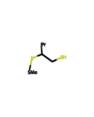 CSSC(CS)C(C)C